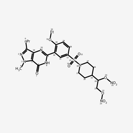 CCCc1nn(C)c2c(=O)[nH]c(-c3cc(S(=O)(=O)N4CCC(C(CO[N+](=O)[O-])O[N+](=O)[O-])CC4)ccc3OCC)nc12